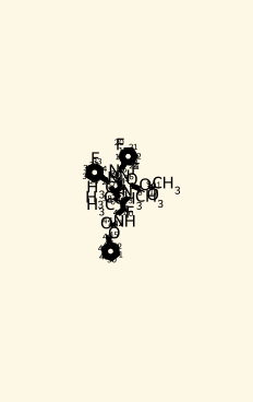 CC[C@@H](CN(C(=O)[C@H](C)OC(C)=O)[C@@H](c1nc(-c2cc(F)ccc2F)nn1Cc1cccc(F)c1)C(C)(C)C)[C@@H](F)CNC(=O)OCc1ccccc1